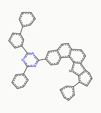 c1ccc(-c2cccc(-c3nc(-c4ccccc4)nc(-c4ccc5c(ccc6ccc7c8cccc(-c9ccccc9)c8[se]c7c65)c4)n3)c2)cc1